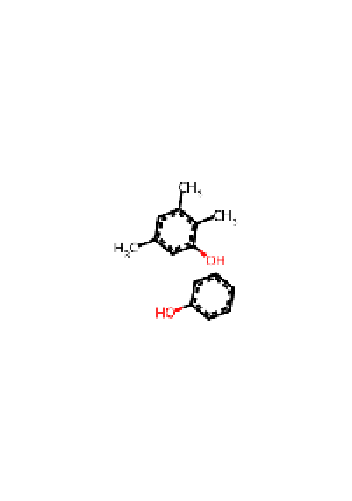 Cc1cc(C)c(C)c(O)c1.Oc1ccccc1